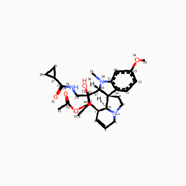 CC[C@]12C=CCN3CC[C@@]4(c5ccc(OC)cc5N(C)[C@H]4C(O)(CNC(=O)C4CC4)[C@@H]1OC(C)=O)[C@@H]32